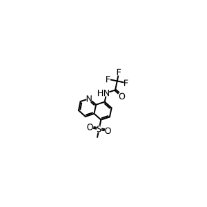 CS(=O)(=O)c1ccc(NC(=O)C(F)(F)F)c2ncccc12